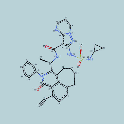 C#Cc1ccc2c3c(c([C@@H](C)NC(=O)c4c(NS(=O)(=O)NC5CC5)nn5cccnc45)n(-c4ccccc4)c(=O)c13)CCCC2